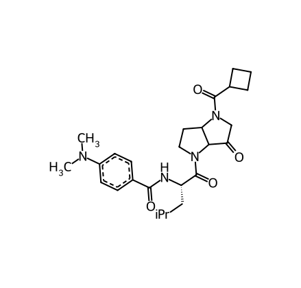 CC(C)C[C@H](NC(=O)c1ccc(N(C)C)cc1)C(=O)N1CCC2C1C(=O)CN2C(=O)C1CCC1